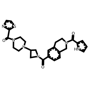 O=C(c1ccc2c(c1)CCN(C(=O)c1ccc[nH]1)C2)N1CC(N2CCN(C(=O)c3nccs3)CC2)C1